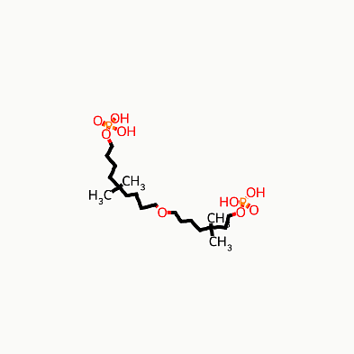 CC(C)(CCCCOCCCCC(C)(C)CCOP(=O)(O)O)CCCCOP(=O)(O)O